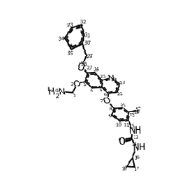 NCOc1cc2c(Oc3ccc(NC(=O)NC4CC4)c(F)c3)ccnc2cc1OCc1ccccc1